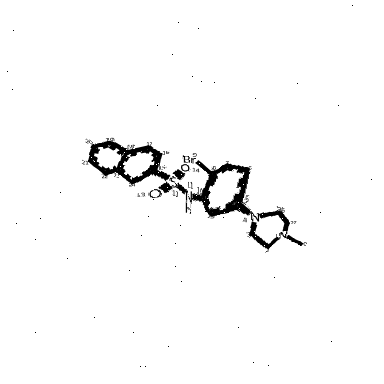 CN1CCN(c2ccc(Br)c(NS(=O)(=O)c3ccc4ccccc4c3)c2)CC1